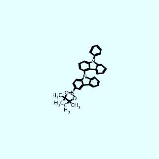 CC1(C)OB(c2ccc3c(c2)c2ccccc2n3-c2cccc3c2c2ccccc2n3-c2ccccc2)OC1(C)C